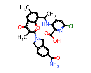 Cc1cc(C(C)Nc2ccc(Cl)nc2C(=O)O)c2oc(N3Cc4ccc(C(N)=O)cc4C3)c(C)c(=O)c2c1